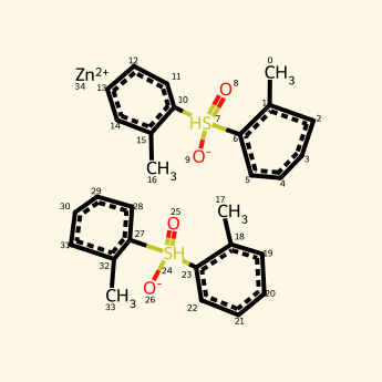 Cc1ccccc1[SH](=O)([O-])c1ccccc1C.Cc1ccccc1[SH](=O)([O-])c1ccccc1C.[Zn+2]